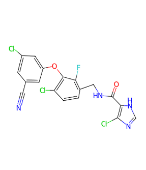 N#Cc1cc(Cl)cc(Oc2c(Cl)ccc(CNC(=O)c3[nH]cnc3Cl)c2F)c1